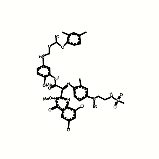 CCC(OCNc1ccc(OC)c(NC(=O)/C(=N/c2ccc(N(CC)CCNS(C)(=O)=O)cc2C)c2nc3c(Cl)cc(Cl)cc3c(=O)n2OC)c1)Oc1ccc(C)cc1C